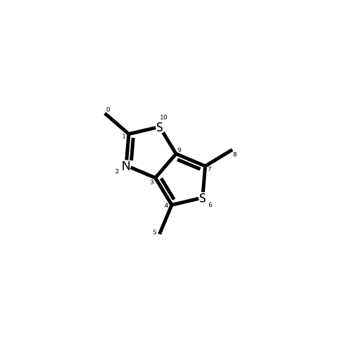 Cc1nc2c(C)sc(C)c2s1